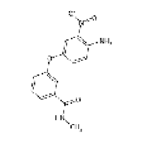 CNC(=O)c1cccc(Oc2ccc(N)c([N+](=O)[O-])c2)c1